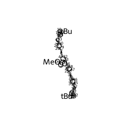 COC(=O)c1cc(C#Cc2ccc(SCCO[Si](C)(C)C(C)(C)C)cc2)ccc1OCc1ccc(C#Cc2ccc(SCCO[Si](C)(C)C(C)(C)C)cc2)cc1